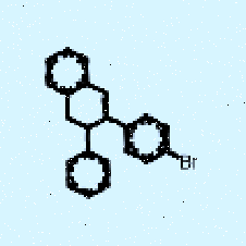 Brc1ccc(C2=Cc3ccccc3CC2c2ccccc2)cc1